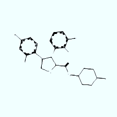 CC1CCC(NC(=O)C2NCC(c3ccc(Cl)cc3F)[C@H]2c2cccc(Cl)c2F)CC1